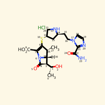 C[C@@H](O)[C@H]1C(=O)N2C(C(=O)O)=C(S[C@@H]3CN[C@@H](CCn4ccnc4C(N)=O)C3)[C@H](C)[C@H]12.Cl